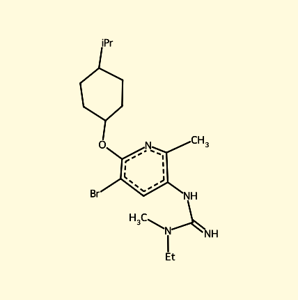 CCN(C)C(=N)Nc1cc(Br)c(OC2CCC(C(C)C)CC2)nc1C